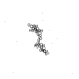 C[C@]12C=CC(=O)C=C1CC[C@@H]1[C@@H]2[C@@H](O)C[C@@]2(C)[C@H]1CC[C@]2(O)C(=O)COC(=O)CC(=O)OCC(=O)[C@]1(O)CC[C@@H]2[C@H]3CCC4=CC(=O)C=C[C@@]4(C)[C@@H]3[C@H](O)C[C@]21C